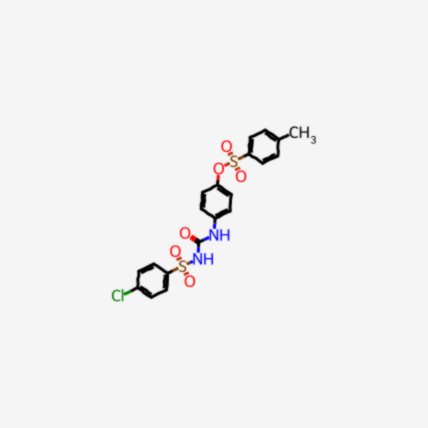 Cc1ccc(S(=O)(=O)Oc2ccc(NC(=O)NS(=O)(=O)c3ccc(Cl)cc3)cc2)cc1